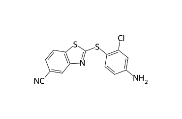 N#Cc1ccc2sc(Sc3ccc(N)cc3Cl)nc2c1